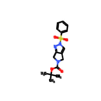 CC(C)(C)OC(=O)N1Cc2cn(S(=O)(=O)c3ccccc3)nc2C1